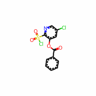 O=C(Oc1cc(Cl)cnc1S(=O)(=O)Cl)c1ccccc1